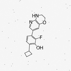 Oc1c(C2CCC2)ccc(-c2cnc3c(c2)OCCN3)c1F